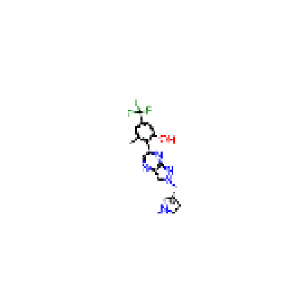 Cc1cc(C(F)(F)F)cc(O)c1-c1cnc2cn(C[C@@H]3CCN(C)C3)nc2n1